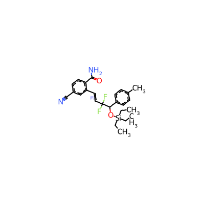 CC[Si](CC)(CC)OC(c1ccc(C)cc1)C(F)(F)/C=C/c1cc(C#N)ccc1C(N)=O